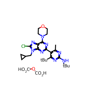 Cc1nc(NC(C)(C)C)nc(C(C)(C)C)c1-c1nc(N2CCOCC2)c2nc(Cl)n(CC3CC3)c2n1.O=C(O)OC(=O)O